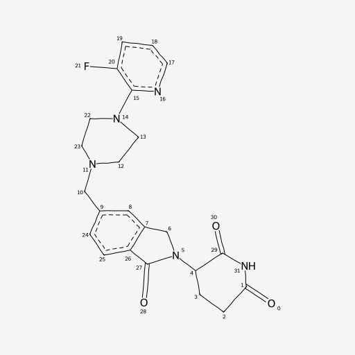 O=C1CCC(N2Cc3cc(CN4CCN(c5ncccc5F)CC4)ccc3C2=O)C(=O)N1